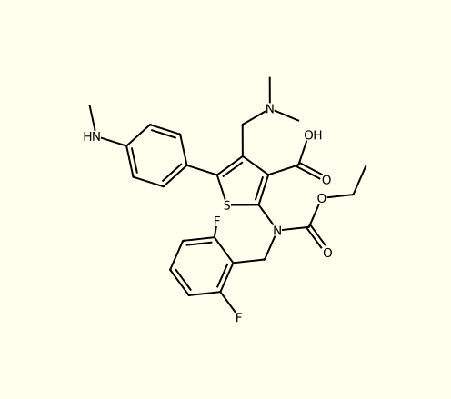 CCOC(=O)N(Cc1c(F)cccc1F)c1sc(-c2ccc(NC)cc2)c(CN(C)C)c1C(=O)O